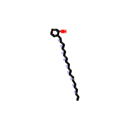 C=C/C=C/C=C/C=C/C=C/C=C/C=C/C=C/C=C/C=C/c1ccccc1O